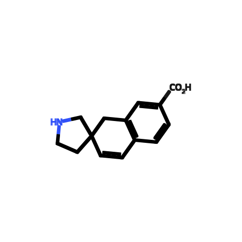 O=C(O)c1ccc2c(c1)CC1(C=C2)CCNC1